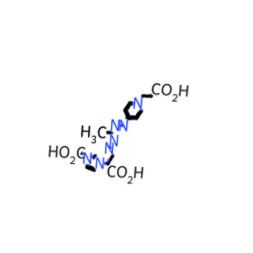 CC(N=NCC(C(=O)O)[n+]1ccn(C(=O)O)c1)=NN=c1ccn(CCC(=O)O)cc1